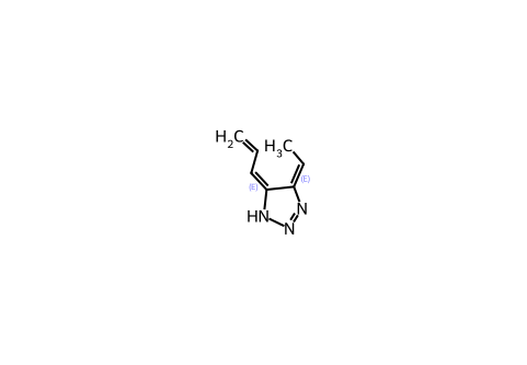 C=C/C=c1/[nH]nn/c1=C/C